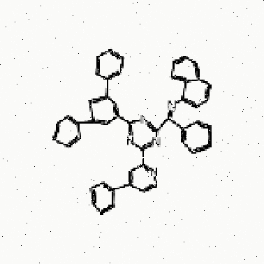 c1ccc(/C(=N\c2cccc3ccccc23)c2nc(-c3cc(-c4ccccc4)cc(-c4ccccc4)c3)nc(-c3cc(-c4ccccc4)ccn3)n2)cc1